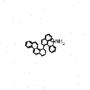 NC(=O)c1ccccc1-c1c(C2CCCc3ccc4c(ccc5ccccc54)c32)ccc2ccccc12